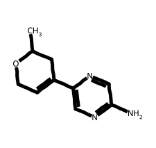 CC1CC(c2cnc(N)cn2)=CCO1